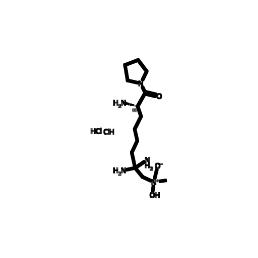 C[N+]([O-])(O)CC(N)(N)CCCC[C@H](N)C(=O)N1CCCC1.Cl.Cl